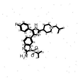 CC(C)CN1CCC(c2nc(-c3ccc4nc(N)n(S(=O)(=O)C(C)C)c4c3)c(-c3ccc(F)cc3)[nH]2)CC1